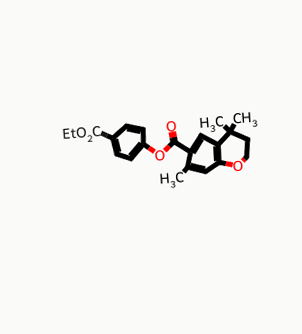 CCOC(=O)c1ccc(OC(=O)c2cc3c(cc2C)OCCC3(C)C)cc1